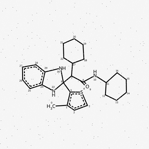 Cc1ccsc1C1(C(C(=O)NC2CCCCC2)C2CCCCC2)Nc2ccccc2N1